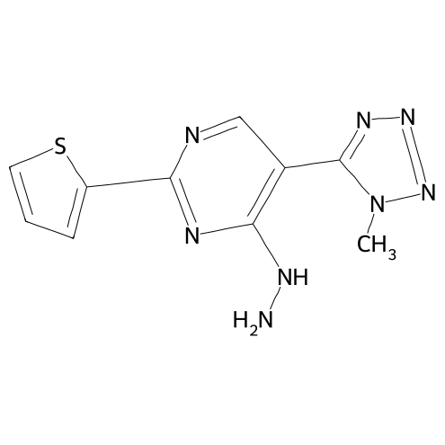 Cn1nnnc1-c1cnc(-c2cccs2)nc1NN